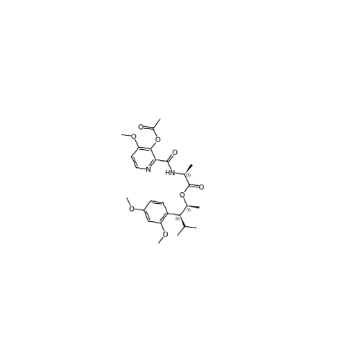 COc1ccc([C@H](C(C)C)[C@H](C)OC(=O)[C@H](C)NC(=O)c2nccc(OC)c2OC(C)=O)c(OC)c1